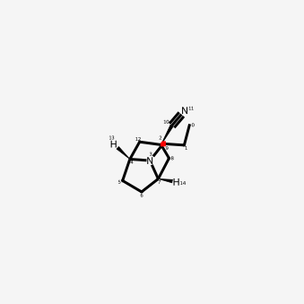 CCCN1[C@@H]2CC[C@H]1C[C@H](C#N)C2